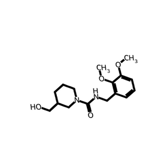 COc1cccc(CNC(=O)N2CCCC(CO)C2)c1OC